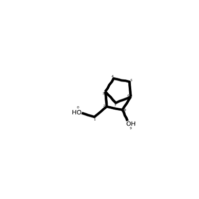 OCC1C2CCC(C2)C1O